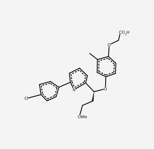 COCC[C@H](Oc1ccc(OCC(=O)O)c(C)c1)c1cccc(-c2ccc(Cl)cc2)n1